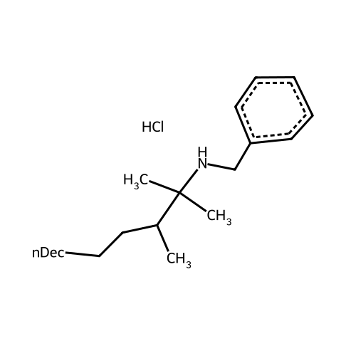 CCCCCCCCCCCCC(C)C(C)(C)NCc1ccccc1.Cl